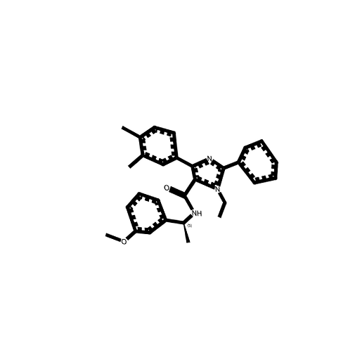 CCn1c(-c2ccccc2)nc(-c2ccc(C)c(C)c2)c1C(=O)N[C@@H](C)c1cccc(OC)c1